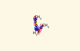 C=CC(=O)N1CCC(Oc2cc3c(Nc4ccc(Oc5nc(-c6cnc(OC)nc6)cs5)cc4F)ncnc3cc2OC)CC1